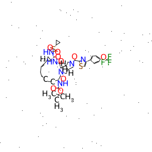 CC(C)(C)OC(=O)N[C@H]1CCCCC/C=C\[C@H]2C[C@@]2(C(=O)NS(=O)(=O)C2CC2)NC(=O)[C@@H]2[C@H]3CN(C(=O)c4nc(-c5ccc(OC(F)(F)F)cc5)cs4)C[C@H]3CN2C1=O